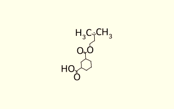 C[C](C)CCOC(=O)C1CCCC(C(=O)O)C1